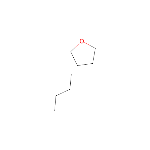 C1CCOC1.CCCC